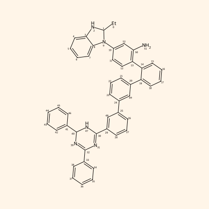 CCC1Nc2ccccc2N1c1ccc(-c2ccccc2-c2cccc(-c3cccc(C4=NC(c5ccccc5)=NC(c5ccccc5)N4)c3)c2)c(N)c1